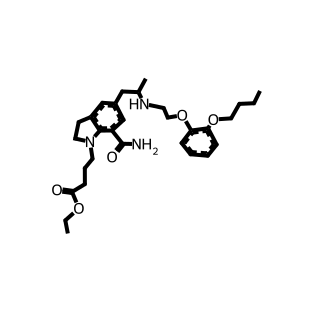 CCCCOc1ccccc1OCCNC(C)Cc1cc2c(c(C(N)=O)c1)N(CCCC(=O)OCC)CC2